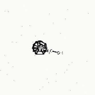 CO.[CH]12[CH]3[CH]4[CH]5[CH]1[Fe]23451678[CH]2[CH]1[CH]6[CH]7[CH]28